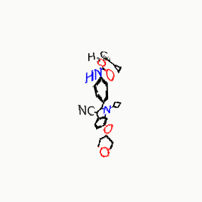 C[C@@H](OC(=O)Nc1ccc(C2C(C#N)c3ccc(OC4CCOCC4)cc3N2C2CCC2)cc1)C1CC1